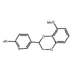 CCCc1ccc(C2COc3cccc(OC)c3O2)cn1